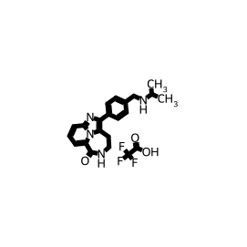 CC(C)NCc1ccc(-c2nc3cccc4n3c2CCNC4=O)cc1.O=C(O)C(F)(F)F